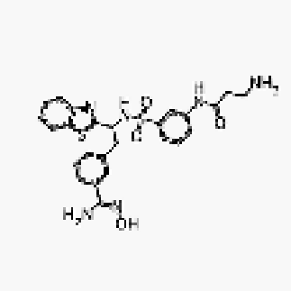 NCCC(=O)Nc1cccc(S(=O)(=O)N[C@@H](Cc2cccc(C(N)=NO)c2)c2nc3ccccc3s2)c1